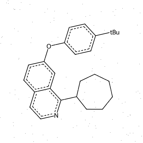 CC(C)(C)c1ccc(Oc2ccc3ccnc(C4CCCCCC4)c3c2)cc1